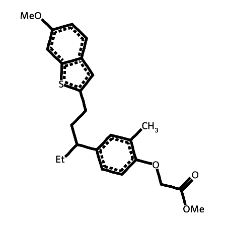 CCC(CCc1cc2ccc(OC)cc2s1)c1ccc(OCC(=O)OC)c(C)c1